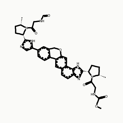 COC(=O)NCC(=O)N1[C@@H](C)CC[C@H]1c1nc2ccc3cc4c(cc3c2[nH]1)OCc1cc(-c2cnc([C@@H]3CC[C@H](C)N3C(=O)CNC=O)[nH]2)ccc1-4